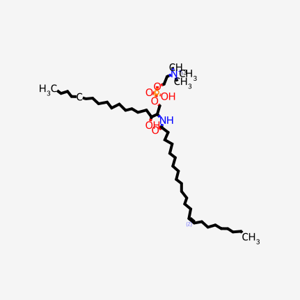 CCCCCCCC/C=C\CCCCCCCCCCCCCC(=O)NC(COP(=O)(O)OCC[N+](C)(C)C)C(O)CCCCCCCCCCCCCCC